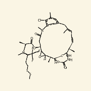 CSSCCC(N(C)[C@@H](C)C(=O)O[C@H]1CC(=O)N(C)c2cc(cc(C)c2Cl)C/C(C)=C/C=C/[C@@H](C)[C@@]2(O)C[C@H](OC(=O)N2)[C@@H](C)[C@@H]2O[C@@]12C)C(F)(F)F